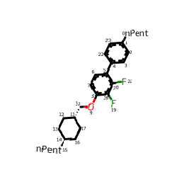 CCCCCc1ccc(-c2ccc(OC[C@H]3CC[C@H](CCCCC)CC3)c(F)c2F)cc1